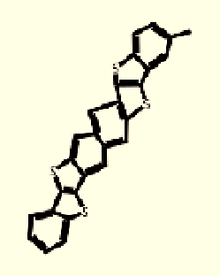 Cc1ccc2sc3c4cc5cc6sc7c8ccccc8sc7c6cc5cc4sc3c2c1